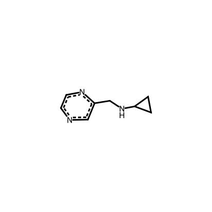 c1cnc(CNC2CC2)cn1